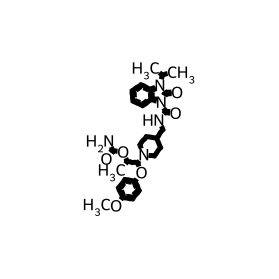 COc1ccc(OC(C(C)OC(N)=O)N2CCC(CNC(=O)n3c(=O)n(C(C)C)c4ccccc43)CC2)cc1